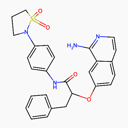 Nc1nccc2ccc(OC(Cc3ccccc3)C(=O)Nc3ccc(N4CCCS4(=O)=O)cc3)cc12